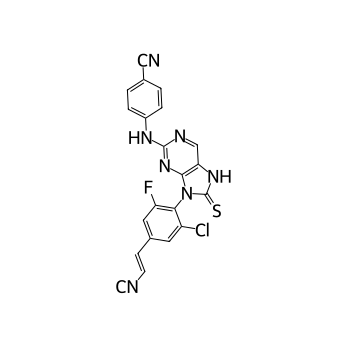 [C-]#[N+]/C=C/c1cc(F)c(-n2c(=S)[nH]c3cnc(Nc4ccc(C#N)cc4)nc32)c(Cl)c1